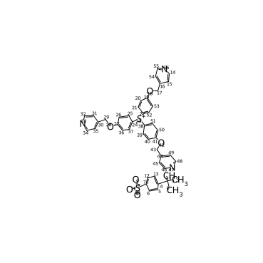 CC(C)(C)c1ccc(S(=O)(=O)[O-])cc1.c1cc(COc2ccc([S+](c3ccc(OCc4ccncc4)cc3)c3ccc(OCc4ccncc4)cc3)cc2)ccn1